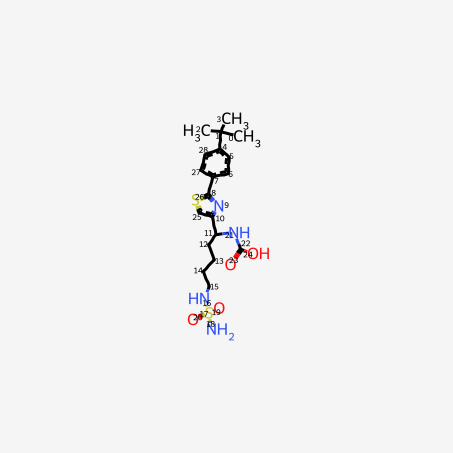 CC(C)(C)c1ccc(-c2nc(C(CCCCNS(N)(=O)=O)NC(=O)O)cs2)cc1